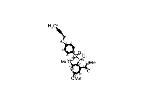 CC#CCOc1ccc(S(=O)(=O)N(C)c2c(C(=O)OC)cc(OC)nc2OC)cc1